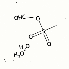 CS(=O)(=O)OC=O.O.O